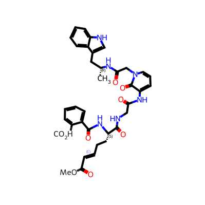 COC(=O)/C=C/CC[C@H](NC(=O)c1ccccc1C(=O)O)C(=O)NCC(=O)Nc1cccn(CC(=O)N[C@H](C)Cc2c[nH]c3ccccc23)c1=O